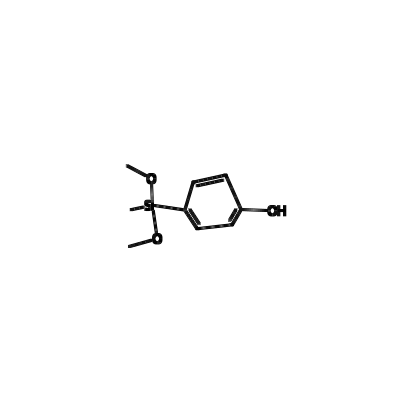 CO[Si](C)(OC)c1ccc(O)cc1